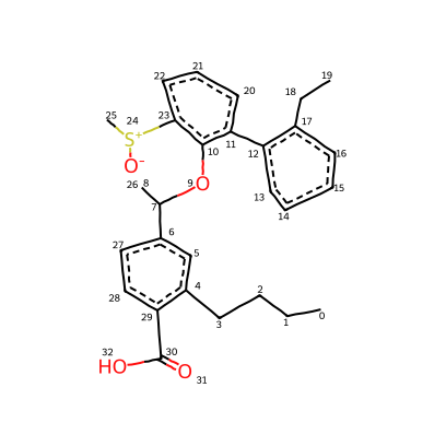 CCCCc1cc(C(C)Oc2c(-c3ccccc3CC)cccc2[S+](C)[O-])ccc1C(=O)O